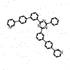 c1ccc(-c2nc(-c3cccc(-c4ccc(-c5cccnc5)cc4)c3)nc(-c3cccc(-c4ccc(-c5cccnc5)cc4)c3)n2)cc1